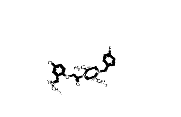 CNCc1cc(Cl)ccc1OCC(=O)N1C[C@@H](C)N(Cc2ccc(F)cc2)C[C@@H]1C